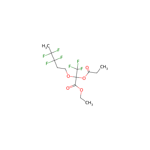 CCOC(=O)C(OCCC(F)(F)C(C)(F)F)(OC(=O)CC)C(F)(F)F